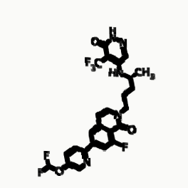 C[C@@H](CCCn1ccc2cc(-c3ccc(OC(F)F)cn3)cc(F)c2c1=O)Nc1cn[nH]c(=O)c1C(F)(F)F